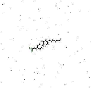 CCCCCCC[C@H]1CC[C@H]([C@H]2CC[C@H](CC=C(F)F)CC2)CC1